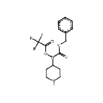 O=C(OCc1ccccc1)N(OC(=O)C(F)(F)F)C1CCNCC1